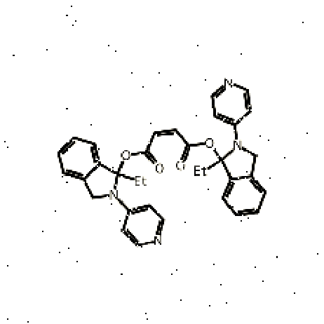 CCC1(OC(=O)/C=C\C(=O)OC2(CC)c3ccccc3CN2c2ccncc2)c2ccccc2CN1c1ccncc1